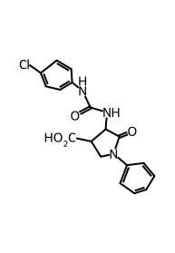 O=C(Nc1ccc(Cl)cc1)NC1C(=O)N(c2ccccc2)CC1C(=O)O